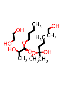 CCCC(C)(O)OC.CCCCOC(=O)C(C)O.CCO.OCCO